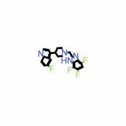 Fc1ccc2nccc(C3CCN(Cc4nc5c(F)cc(F)c(F)c5[nH]4)CC3)c2c1